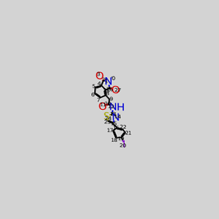 CN1C(=O)c2cccc(CC(=O)Nc3nc(-c4ccc(I)cc4)cs3)c2C1=O